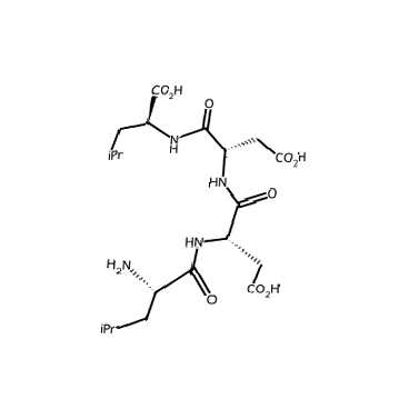 CC(C)C[C@H](NC(=O)[C@H](CC(=O)O)NC(=O)[C@H](CC(=O)O)NC(=O)[C@@H](N)CC(C)C)C(=O)O